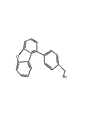 CC(C)(C)Cc1ccc(-c2cccc3oc4ccccc4c23)cc1